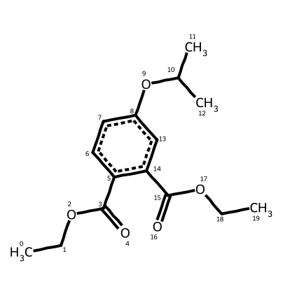 CCOC(=O)c1ccc(OC(C)C)cc1C(=O)OCC